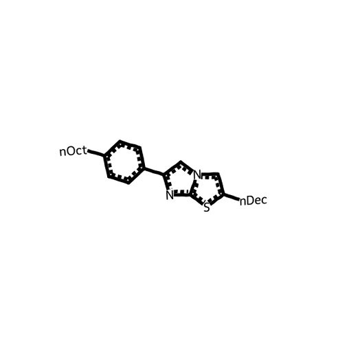 CCCCCCCCCCc1cn2cc(-c3ccc(CCCCCCCC)cc3)nc2s1